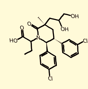 CCC(C(=O)O)N1C(=O)[C@@](C)(CC(O)CO)C[C@H](c2cccc(Cl)c2)[C@H]1c1ccc(Cl)cc1